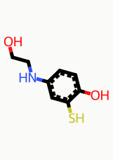 OCCNc1ccc(O)c(S)c1